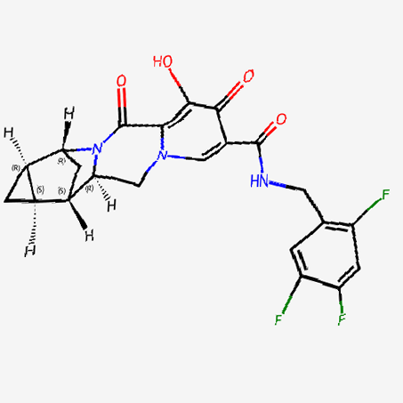 O=C(NCc1cc(F)c(F)cc1F)c1cn2c(c(O)c1=O)C(=O)N1[C@@H]3C[C@@H]([C@H]4C[C@H]43)[C@@H]1C2